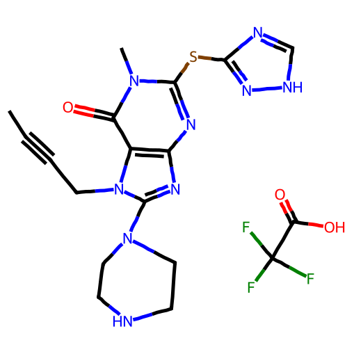 CC#CCn1c(N2CCNCC2)nc2nc(Sc3nc[nH]n3)n(C)c(=O)c21.O=C(O)C(F)(F)F